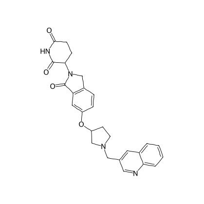 O=C1CCC(N2Cc3ccc(OC4CCN(Cc5cnc6ccccc6c5)C4)cc3C2=O)C(=O)N1